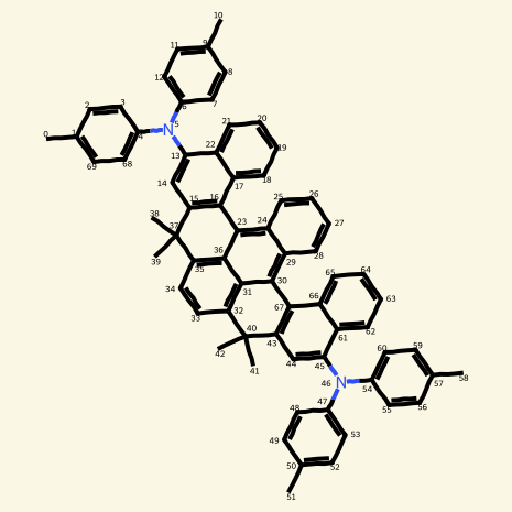 Cc1ccc(N(c2ccc(C)cc2)c2cc3c(c4ccccc24)-c2c4ccccc4c4c5c(ccc(c25)C3(C)C)C(C)(C)c2cc(N(c3ccc(C)cc3)c3ccc(C)cc3)c3ccccc3c2-4)cc1